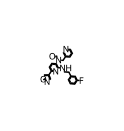 O=CN(Cc1cccnc1)c1ccc(-c2cnoc2)nc1NCCc1cccc(F)c1